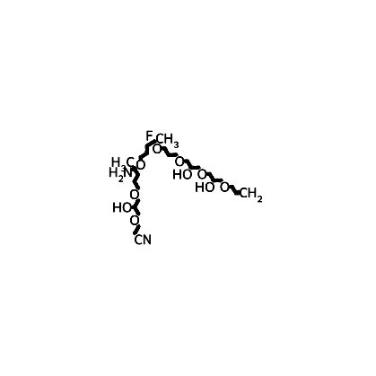 C=CCOCC(O)COCC(O)COCCCOC(C)(F)CCCOC(C)(N)CCCOCC(O)COCCC#N